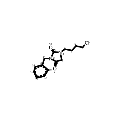 O=C1CN(CCCCCl)C(=O)N1Cc1ccccc1